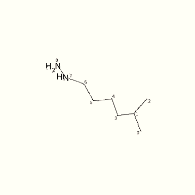 CC(C)CCCCNN